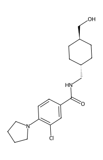 O=C(NC[C@H]1CC[C@H](CO)CC1)c1ccc(N2CCCC2)c(Cl)c1